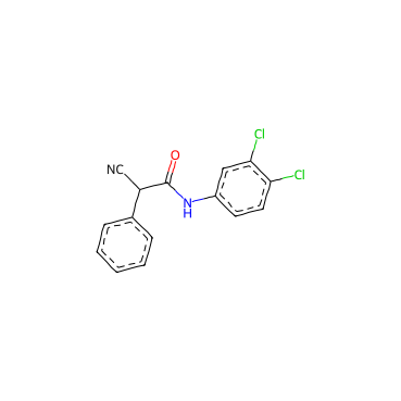 N#CC(C(=O)Nc1ccc(Cl)c(Cl)c1)c1ccccc1